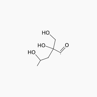 CC(O)CC(O)([C]=O)CO